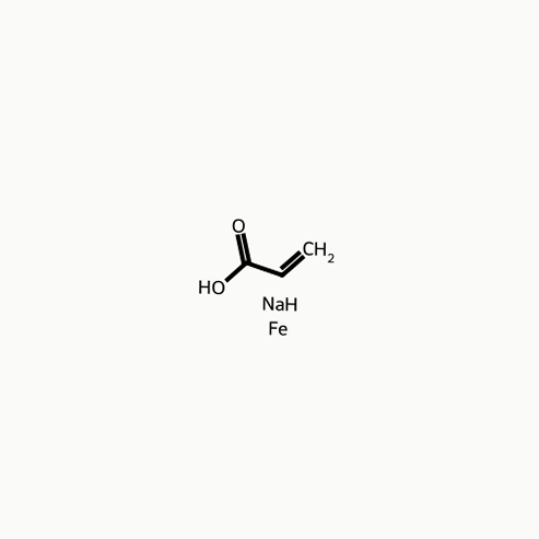 C=CC(=O)O.[Fe].[NaH]